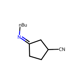 CCCCN=C1CCC(C#N)C1